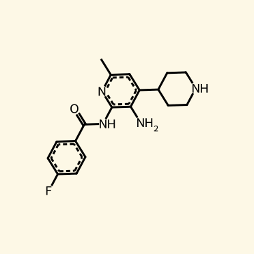 Cc1cc(C2CCNCC2)c(N)c(NC(=O)c2ccc(F)cc2)n1